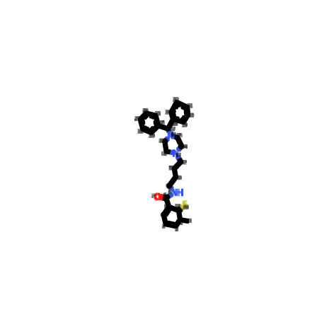 CC1C=CC=C(C(=O)NCCCCN2CCN(C(c3ccccc3)c3ccccc3)CC2)C1=S